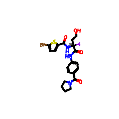 O=C(N[C@](I)(CCO)C(=O)Nc1ccc(C(=O)N2CCCC2)cc1)c1ccc(Br)s1